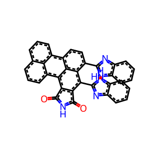 O=c1[nH]c(=O)c2c1c(-c1nc3ccccc3[nH]1)c1c(-c3nc4ccccc4[nH]3)ccc3c4cccc5cccc(c54)c2c13